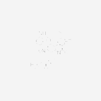 C=CC(=O)N1CC(Cn2c(=O)c(=O)n(C3=C(C)C=CC[C@@H]3C(C)C)c3cc(-c4cc(N)ccc4C#N)c(Cl)cc32)C1